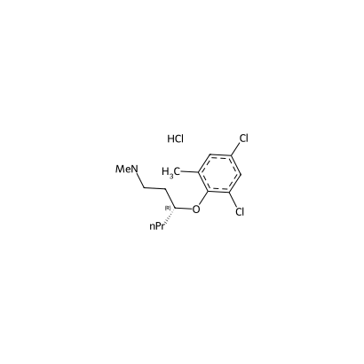 CCC[C@H](CCNC)Oc1c(C)cc(Cl)cc1Cl.Cl